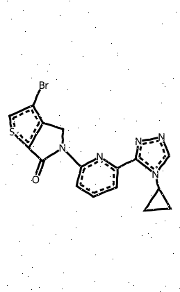 O=C1c2scc(Br)c2CN1c1cccc(-c2nncn2C2CC2)n1